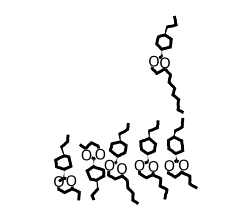 CCCC1CCOC([C@H]2CC[C@H](CCC)CC2)O1.CCCCC1CCOC([C@H]2CC[C@H](CCC)CC2)O1.CCCCCC1CCOC([C@H]2CC[C@H](CCC)CC2)O1.CCCCCCCC1CCOC([C@H]2CC[C@H](CCC)CC2)O1.CCC[C@H]1CC[C@H](C2OCCC(C)O2)CC1.CCC[C@H]1CC[C@H](C2OCCC(CC)O2)CC1